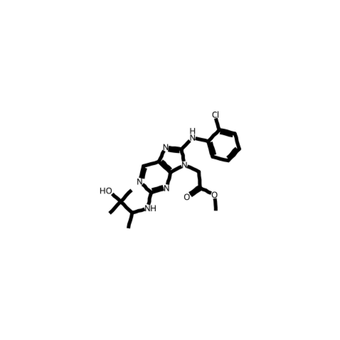 COC(=O)Cn1c(Nc2ccccc2Cl)nc2cnc(NC(C)C(C)(C)O)nc21